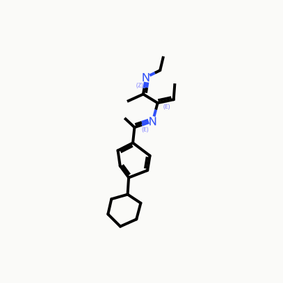 C/C=C(/N=C(\C)c1ccc(C2CCCCC2)cc1)C(\C)=N/CC